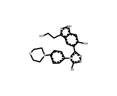 OCCc1n[nH]c2cc(O)c(-c3nnc(S)n3-c3ccc(N4CCOCC4)cc3)cc12